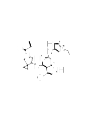 C=CC(=O)N1C[C@@H](Nc2nc(Nc3cnn(CC)c3)nc3[nH]cc(Cl)c23)C2(CC2)C1